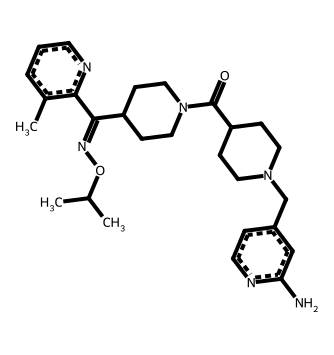 Cc1cccnc1C(=NOC(C)C)C1CCN(C(=O)C2CCN(Cc3ccnc(N)c3)CC2)CC1